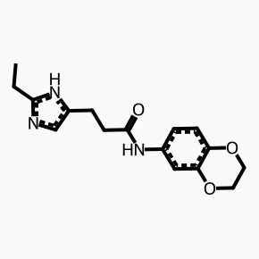 CCc1ncc(CCC(=O)Nc2ccc3c(c2)OCCO3)[nH]1